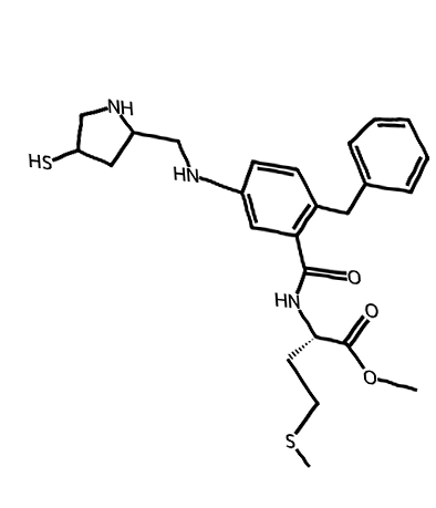 COC(=O)[C@H](CCSC)NC(=O)c1cc(NCC2CC(S)CN2)ccc1Cc1ccccc1